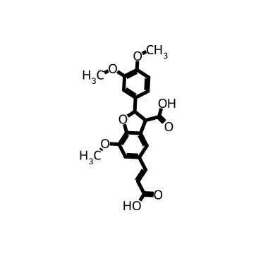 COc1ccc(C2Oc3c(OC)cc(C=CC(=O)O)cc3C2C(=O)O)cc1OC